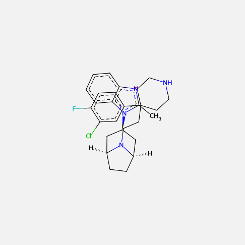 Cc1nc2ccccc2n1[C@H]1C[C@H]2CC[C@@H](C1)N2CCC1(c2ccc(F)c(Cl)c2)CCNCC1